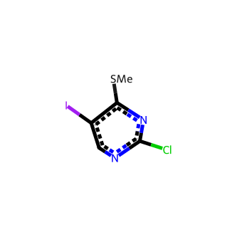 CSc1nc(Cl)ncc1I